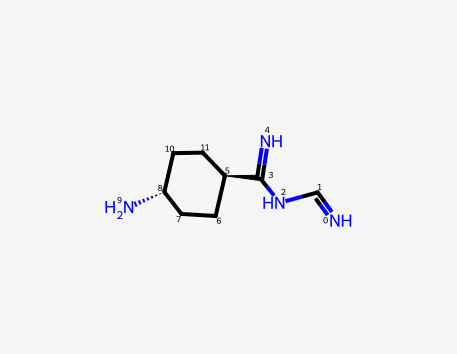 N=CNC(=N)[C@H]1CC[C@H](N)CC1